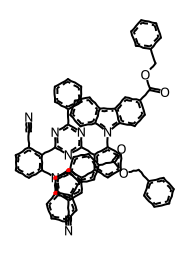 N#Cc1cccc(-c2cccc(-n3c4ccccc4c4cc(C(=O)OCc5ccccc5)ccc43)c2-c2nc(-c3ccccc3)nc(-c3c(C#N)cccc3-n3c4ccccc4c4cc(C(=O)OCc5ccccc5)ccc43)n2)c1